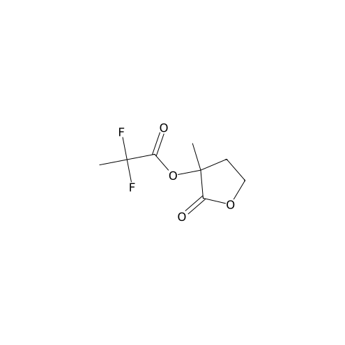 CC(F)(F)C(=O)OC1(C)CCOC1=O